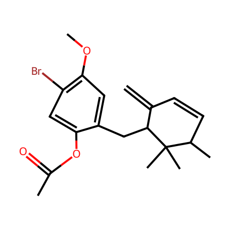 C=C1C=CC(C)C(C)(C)C1Cc1cc(OC)c(Br)cc1OC(C)=O